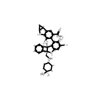 C[C@]1(O)CC[C@H](NC[C@]23Oc4cc(F)c(Cl)c(-c5c(C(N)=O)cc6c(c5F)OC5CC65)c4[C@@H]2c2ccccc23)CC1